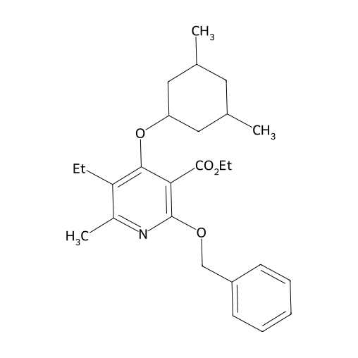 CCOC(=O)c1c(OCc2ccccc2)nc(C)c(CC)c1OC1CC(C)CC(C)C1